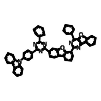 c1ccc(-c2nc(-c3ccc(-n4c5ccccc5c5ccccc54)cc3)nc(-c3ccc4c(c3)oc3c(-c5nc(-c6ccccc6)c6oc7ccccc7c6n5)cccc34)n2)cc1